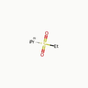 [CH2][C@@H](C)S(=O)(=O)CC